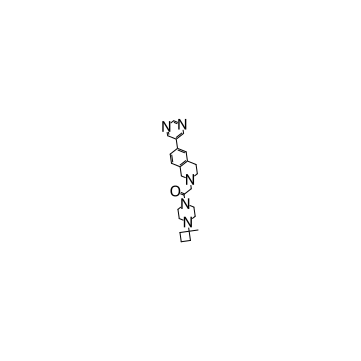 CC1(N2CCN(C(=O)CN3CCc4cc(-c5cncnc5)ccc4C3)CC2)CCC1